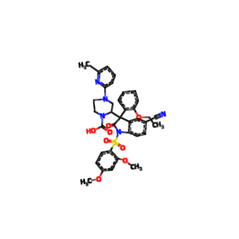 CCOc1ccccc1C1(C2CN(c3cccc(C)n3)CCN2C(=O)O)C(=O)N(S(=O)(=O)c2ccc(OC)cc2OC)c2ccc(C#N)cc21